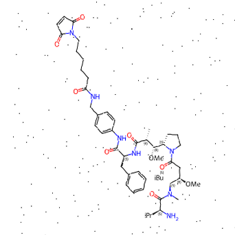 CC[C@H](C)[C@@H]([C@@H](CC(=O)N1CCC[C@H]1[C@H](OC)[C@@H](C)C(=O)N[C@@H](Cc1ccccc1)C(=O)Nc1ccc(CNC(=O)CCCCCN2C(=O)C=CC2=O)cc1)OC)N(C)C(=O)[C@@H](N)C(C)C